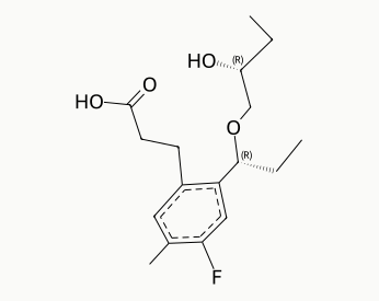 CC[C@@H](O)CO[C@H](CC)c1cc(F)c(C)cc1CCC(=O)O